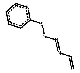 C=CN=NSSc1ccccn1